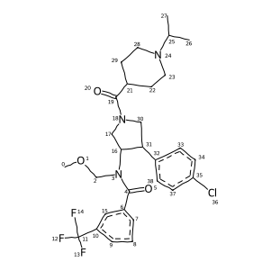 COCN(C(=O)c1cccc(C(F)(F)F)c1)C1CN(C(=O)C2CCN(C(C)C)CC2)CC1c1ccc(Cl)cc1